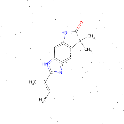 CC=C(C)c1nc2cc3c(cc2[nH]1)NC(=O)C3(C)C